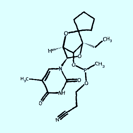 CC[C@@]12O[C@@H](n3cc(C)c(=O)[nH]c3=O)[C@@H](OC13CCCC3)C2OP(C)OCCC#N